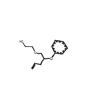 C=CCC(COCCO)Oc1ccccc1